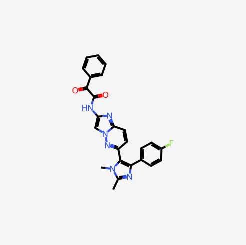 Cc1nc(-c2ccc(F)cc2)c(-c2ccc3nc(NC(=O)C(=O)c4ccccc4)cn3n2)n1C